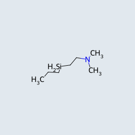 CCC[SiH2]CCN(C)C